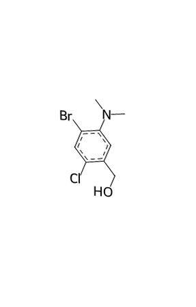 CN(C)c1cc(CO)c(Cl)cc1Br